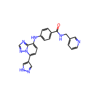 O=C(NCc1cccnc1)c1ccc(Nc2ccc(-c3cn[nH]c3)n3ncnc23)cc1